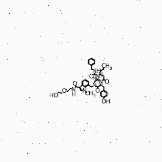 C=CCN1CC(=O)N2[C@@H](Cc3ccc(O)cc3)C(=O)N(Cc3cccc4c(C(=O)NCCOCCO)cn(C)c34)C[C@@H]2N1C(=O)NCc1ccccc1